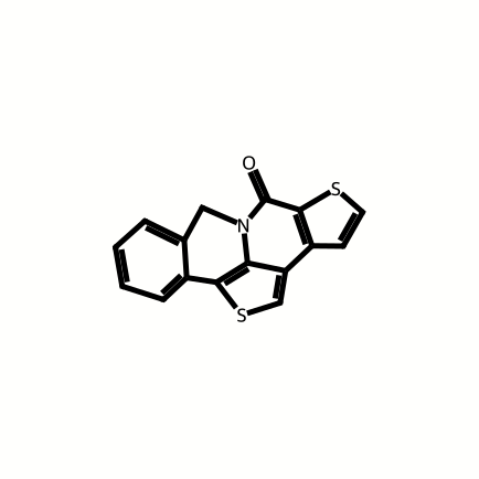 O=c1c2sccc2c2csc3c2n1Cc1ccccc1-3